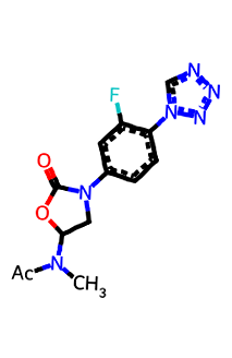 CC(=O)N(C)C1CN(c2ccc(-n3cnnn3)c(F)c2)C(=O)O1